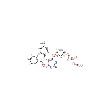 CCc1ccc(-c2c(-c3ccccc3)oc3ncnc(O[C@H]4C=C[C@@H](OCC(=O)OC(C)(C)C)C4)c23)cc1